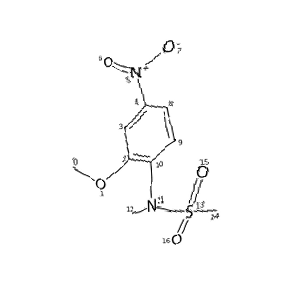 COc1cc([N+](=O)[O-])ccc1N(C)S(C)(=O)=O